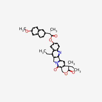 CCc1c2c(nc3ccc(OC(=O)[C@@H](C)c4ccc5cc(OC)ccc5c4)cc13)-c1cc3c(c(=O)n1C2)COC(=O)[C@]3(C)CC